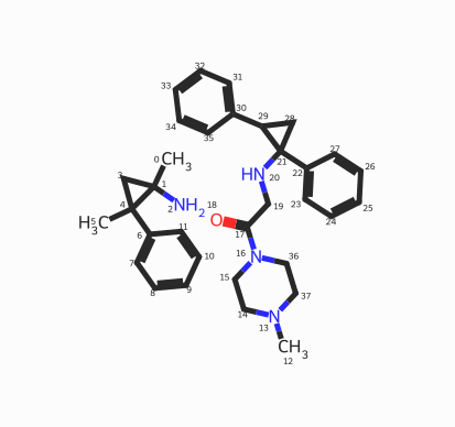 CC1(N)CC1(C)c1ccccc1.CN1CCN(C(=O)CNC2(c3ccccc3)CC2c2ccccc2)CC1